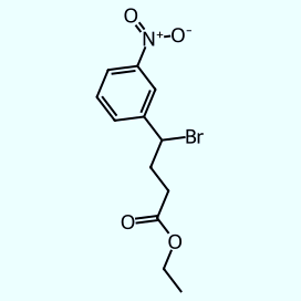 CCOC(=O)CCC(Br)c1cccc([N+](=O)[O-])c1